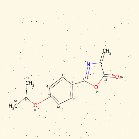 C=C1N=C(c2ccc(OC(C)C)cc2)OC1=O